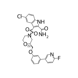 NC(=O)c1[nH]c2ccc(Cl)cc2c1S(=O)(=O)N1CCO[C@H](COc2cccc(-c3ccc(F)nc3)c2)C1